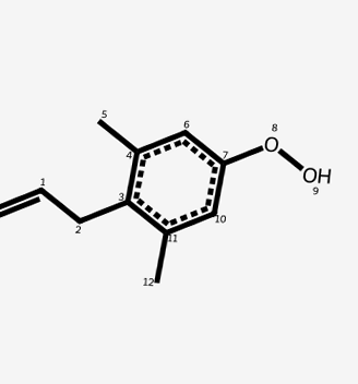 C=CCc1c(C)cc(OO)cc1C